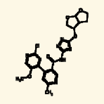 COc1cnc(Cl)cc1-c1cc(C)ncc1C(=O)Nc1nnc(OC2COC3OCCC23)s1